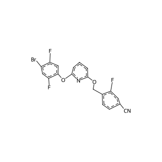 N#Cc1ccc(COc2cccc(Oc3cc(F)c(Br)cc3F)n2)c(F)c1